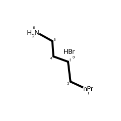 Br.CCCCCCCN